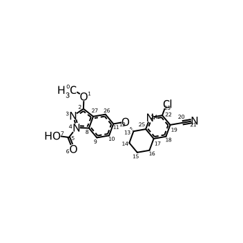 COc1nn(C(=O)O)c2ccc(O[C@H]3CCCc4cc(C#N)c(Cl)nc43)cc12